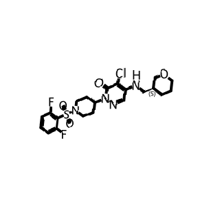 O=c1c(Cl)c(NC[C@@H]2CCCOC2)cnn1C1CCN(S(=O)(=O)c2c(F)cccc2F)CC1